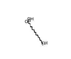 O=C(CCCCCCCCCCCCCCCO)OO